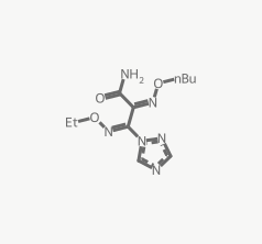 CCCCON=C(C(N)=O)C(=NOCC)n1cncn1